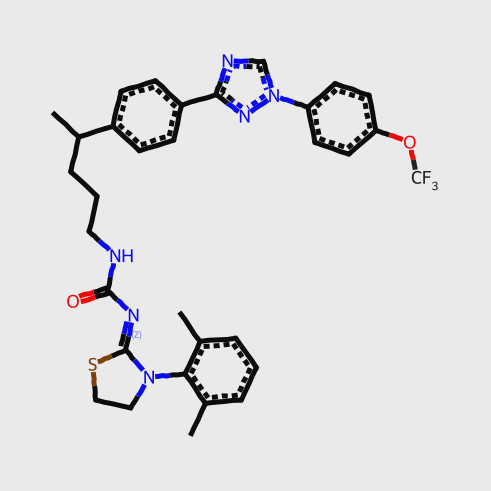 Cc1cccc(C)c1N1CCS/C1=N\C(=O)NCCCC(C)c1ccc(-c2ncn(-c3ccc(OC(F)(F)F)cc3)n2)cc1